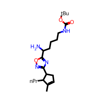 CCCC1C(C)=CCC1c1noc(C(N)CCCCNC(=O)OC(C)(C)C)n1